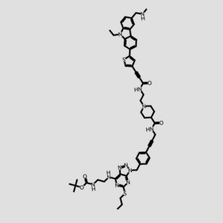 CCCSc1nc(NCCNC(=O)OC(C)(C)C)c2nnn(Cc3ccc(C#CCNC(=O)C4CCN(CCNC(=O)C#Cc5csc(-c6ccc7c8cc(CNC)ccc8n(CC)c7c6)c5)CC4)cc3)c2n1